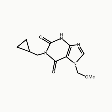 COCn1cnc2[nH]c(=O)n(CC3CC3)c(=O)c21